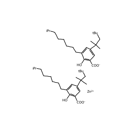 CC(C)CCCCCCc1cc(C(C)(C)CC(C)(C)C)cc(C(=O)[O-])c1O.CC(C)CCCCCCc1cc(C(C)(C)CC(C)(C)C)cc(C(=O)[O-])c1O.[Zn+2]